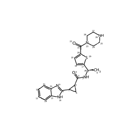 C[C@@H](NC(=O)C1CC1c1nc2ccccc2[nH]1)c1ccc(C(=O)N2CCNCC2)s1